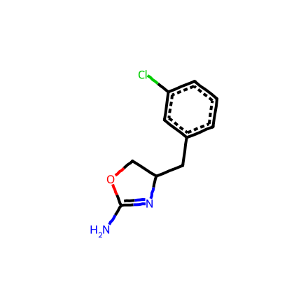 NC1=NC(Cc2cccc(Cl)c2)CO1